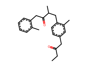 CCC(=O)Cc1ccc(CC(C)C(=O)Cc2ccccc2C)c(C)c1